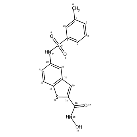 Cc1cccc(S(=O)(=O)Nc2ccc3sc(C(=O)NO)cc3c2)c1